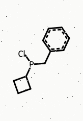 ClP(Cc1ccccc1)C1CCC1